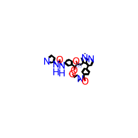 COCCN(C)C(=O)c1ccc(-c2ccnc3c2c(/C=C2\Oc4ccc(NC(=O)Nc5cccnc5)cc4C2=O)cn3C)cc1